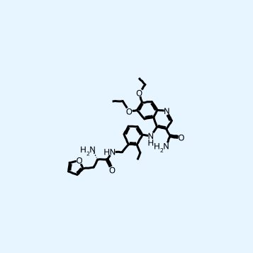 CCOc1cc2ncc(C(N)=O)c(Nc3cccc(CNC(=O)[C@@H](N)Cc4ccco4)c3CC)c2cc1OCC